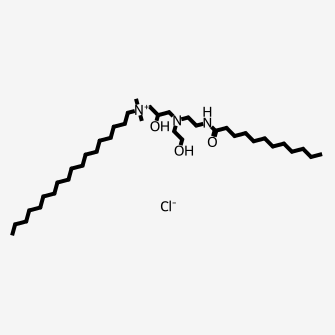 CCCCCCCCCCCCCCCCCC[N+](C)(C)CC(O)CN(CCO)CCNC(=O)CCCCCCCCCCC.[Cl-]